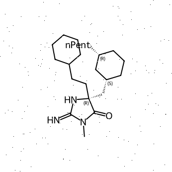 CCCCC[C@@H]1CCC[C@H](C[C@@]2(CCC3CCCCC3)NC(=N)N(C)C2=O)C1